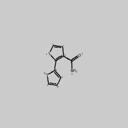 NC(=O)c1ccsc1-c1cccs1